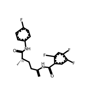 C=C(CC[C@H](C)C(=O)Nc1ccc(F)cc1)NC(=O)c1cc(F)c(F)cc1F